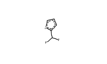 FC(F)c1cc[c]o1